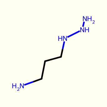 NCCCNNN